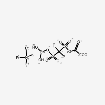 CC[N+](C)(CC)CC.O=C([O-])C(=O)OS(=O)(=O)C(F)(F)S(=O)(=O)OB(O)O